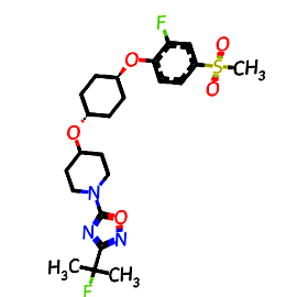 CC(C)(F)c1noc(N2CCC(O[C@H]3CC[C@H](Oc4ccc(S(C)(=O)=O)cc4F)CC3)CC2)n1